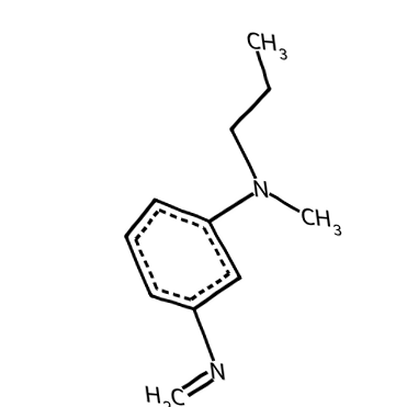 C=Nc1cccc(N(C)CCC)c1